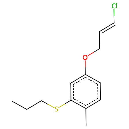 CCCSc1cc(OCC=CCl)ccc1C